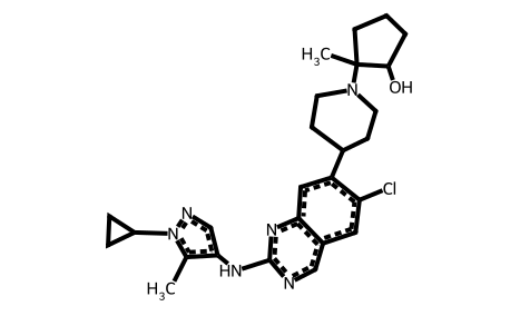 Cc1c(Nc2ncc3cc(Cl)c(C4CCN(C5(C)CCCC5O)CC4)cc3n2)cnn1C1CC1